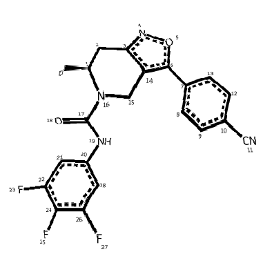 C[C@H]1Cc2noc(-c3ccc(C#N)cc3)c2CN1C(=O)Nc1cc(F)c(F)c(F)c1